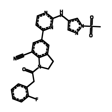 CS(=O)(=O)n1cc(Nc2nccc(-c3cc(C#N)c4c(c3)CCN4C(=O)Cc3ccccc3F)n2)cn1